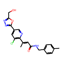 C/C(=C\C(=O)NCc1ccc(C)cc1)c1ncc(-c2nnc(CO)o2)cc1Cl